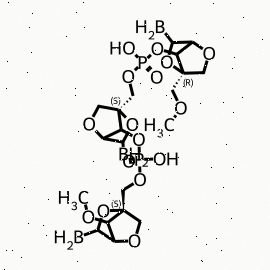 BC1O[C@]2(COP(=O)(O)OC3C4OC[C@@]3(COP(=O)(O)OC3C5OC[C@@]3(COC)OC5B)OC4B)COC1C2OC